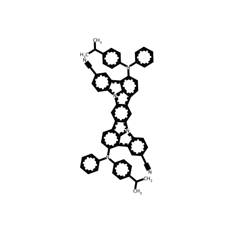 CC(C)c1ccc(N(c2ccccc2)c2ccc3c4cc5c(cc4n4c6ccc(C#N)cc6c2c34)c2ccc(N(c3ccccc3)c3ccc(C(C)C)cc3)c3c4cc(C#N)ccc4n5c23)cc1